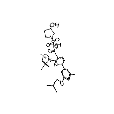 Cc1cc(OCC(C)C)cc(-c2ccc(C(=O)NS(=O)(=O)N3CCC(O)C3)c(N3C[C@@H](C)CC3(C)C)n2)c1